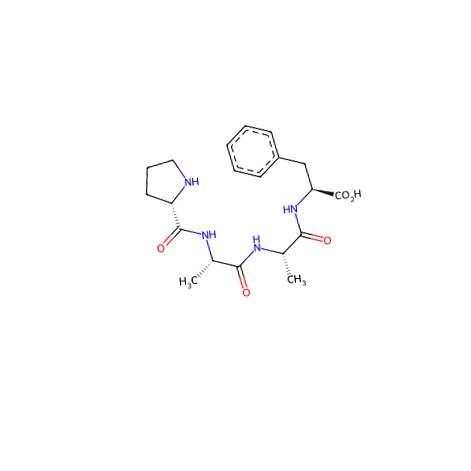 C[C@H](NC(=O)[C@H](C)NC(=O)[C@@H]1CCCN1)C(=O)N[C@@H](Cc1ccccc1)C(=O)O